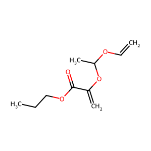 C=COC(C)OC(=C)C(=O)OCCC